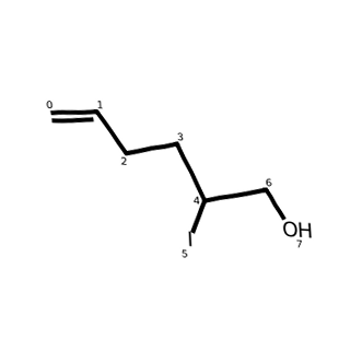 C=CCCC(I)CO